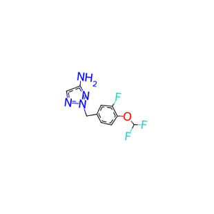 Nc1cnn(Cc2ccc(OC(F)F)c(F)c2)n1